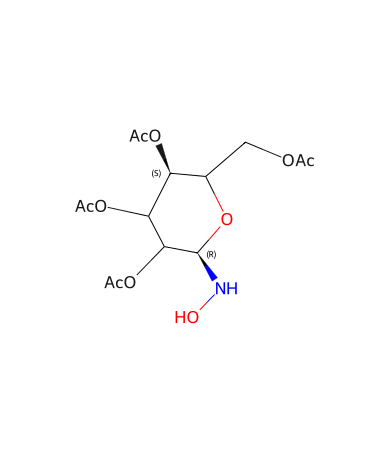 CC(=O)OCC1O[C@@H](NO)C(OC(C)=O)C(OC(C)=O)[C@H]1OC(C)=O